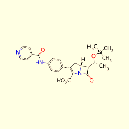 C[C@@H](O[Si](C)(C)C)[C@H]1C(=O)N2C(C(=O)O)=C(c3ccc(NC(=O)c4ccncc4)cc3)C[C@H]12